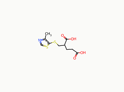 Cc1ncsc1SCC(CCC(=O)O)C(=O)O